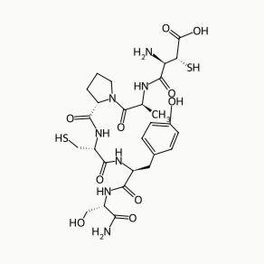 C[C@H](NC(=O)[C@@H](N)[C@@H](S)C(=O)O)C(=O)N1CCC[C@H]1C(=O)N[C@@H](CS)C(=O)N[C@@H](Cc1ccc(O)cc1)C(=O)N[C@@H](CO)C(N)=O